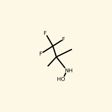 CC(C)(NO)C(F)(F)F